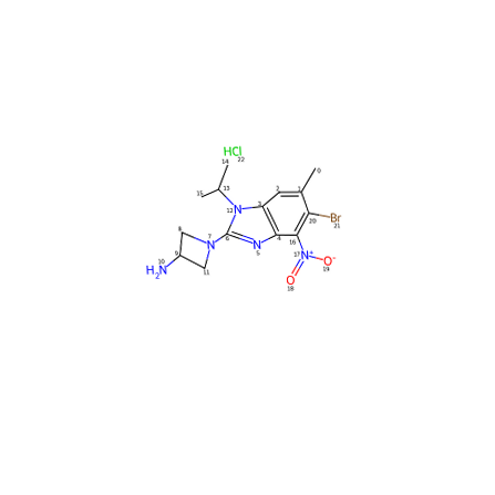 Cc1cc2c(nc(N3CC(N)C3)n2C(C)C)c([N+](=O)[O-])c1Br.Cl